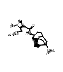 COCc1c(C(=O)NC2CCC3CC4CC(NC(C)=O)(C3)CC42)cnn1C(C)(C)C